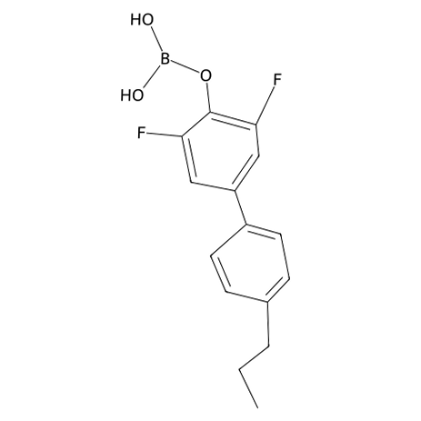 CCCc1ccc(-c2cc(F)c(OB(O)O)c(F)c2)cc1